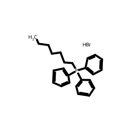 Br.CCCCCCC[P](c1ccccc1)(c1ccccc1)c1ccccc1